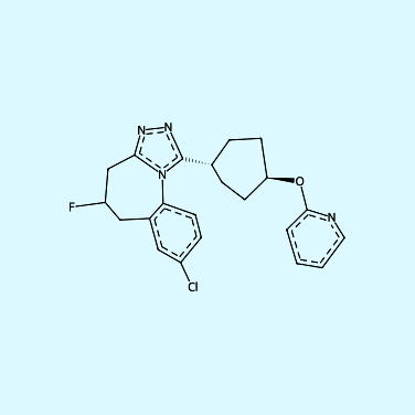 FC1Cc2cc(Cl)ccc2-n2c(nnc2[C@H]2CC[C@H](Oc3ccccn3)CC2)C1